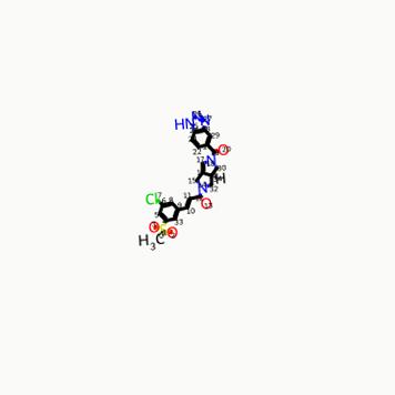 CS(=O)(=O)c1cc(Cl)cc(C=CC(=O)N2CC3=CN(C(=O)c4ccc5[nH]nnc5c4)C[C@H]3C2)c1